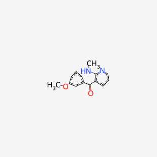 CNc1ncccc1C(=O)c1cccc(OC)c1